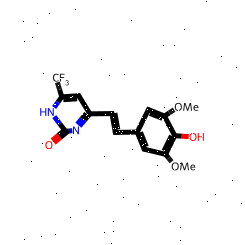 COc1cc(C=Cc2cc(C(F)(F)F)[nH]c(=O)n2)cc(OC)c1O